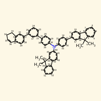 CC1(C)c2ccccc2-c2ccc(-c3ccc(N(c4ccc(-c5cccc(-c6ccc7c(c6)CCC=C7)c5)cc4)c4ccc5c(c4)C(C)(C)c4ccccc4-5)cc3)cc21